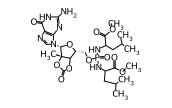 COC(=O)C(CC(C)C)NP(=O)(NC(CC(C)C)C(=O)OC)OC[C@H]1O[C@@H](n2cnc3c(=O)[nH]c(N)nc32)[C@@]2(C)OC(=O)OC12